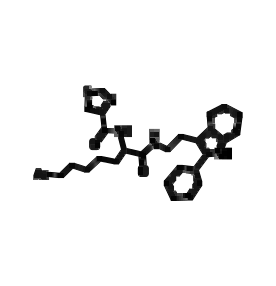 CC(=O)CCCCCC(NC(=O)c1cscn1)C(=O)NCCc1c(-c2ccccc2)[nH]c2ccccc12